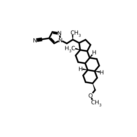 COC[C@H]1CC[C@@H]2C3CC[C@@]4(C)C(CCC4[C@H](C)Cn4cc(C#N)cn4)[C@@H]3CC[C@@H]2C1